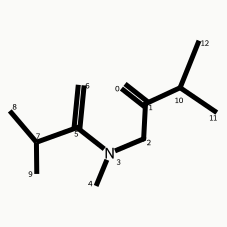 C=C(CN(C)C(=C)C(C)C)C(C)C